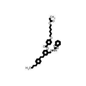 C=CC(=O)OCCCCCCOc1ccc(C(=O)Oc2ccc(CCc3ccc(CCCC)cc3)cc2/C=N/Nc2nc3ccccc3s2)cc1